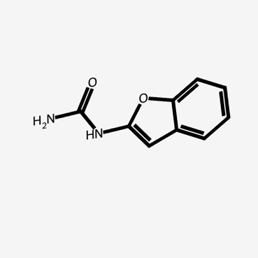 NC(=O)Nc1cc2ccccc2o1